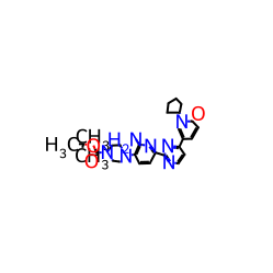 CC(C)(C)OC(=O)N1CCN(c2ccc(-c3nccc(-c4ccc(=O)n(C5CCCC5)c4)n3)nc2N)CC1